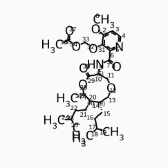 COc1ccnc(C(=O)N[C@H]2COC[C@H](CCC(C)C)[C@@H](CCC(C)C)[C@H](C)OC2=O)c1OCOC(C)=O